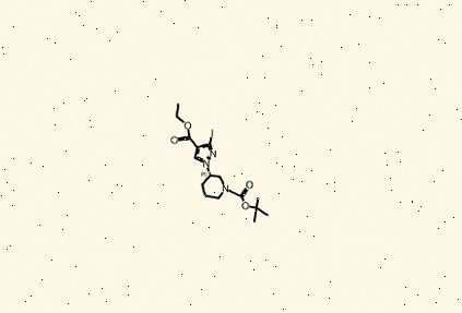 CCOC(=O)c1cn([C@@H]2CCCN(C(=O)OC(C)(C)C)C2)nc1I